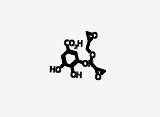 C(OCC1CO1)C1CO1.O=C(O)c1cc(O)c(O)c(O)c1